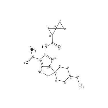 N#CCC1(n2cc(C(N)=O)c(NC(=O)C3CC34CC4)n2)CCN(CC(F)(F)F)CC1